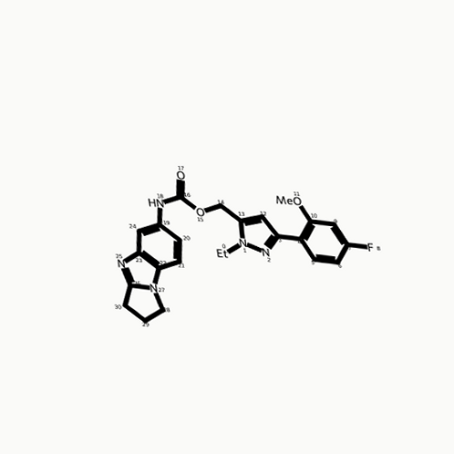 CCn1nc(-c2ccc(F)cc2OC)cc1COC(=O)Nc1ccc2c(c1)nc1n2CCC1